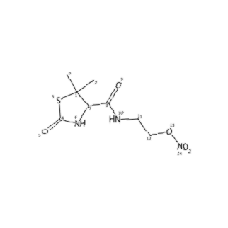 CC1(C)SC(=O)NC1C(=O)NCCO[N+](=O)[O-]